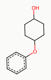 OC1CCC(Oc2ccccc2)CC1